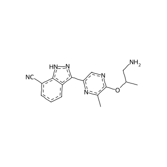 Cc1nc(-c2n[nH]c3c(C#N)cccc23)cnc1OC(C)CN